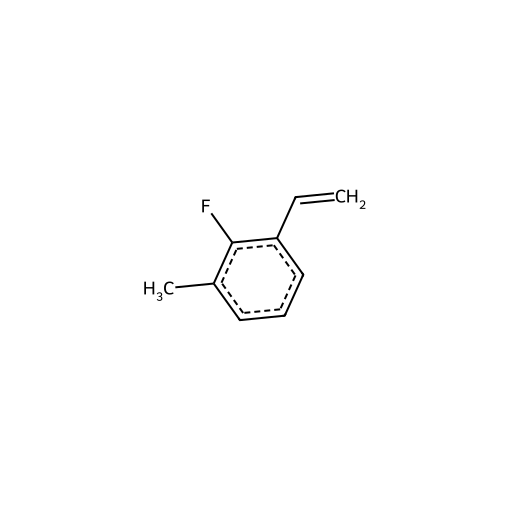 C=Cc1cccc(C)c1F